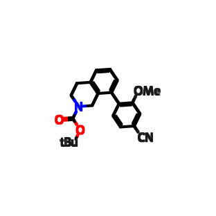 COc1cc(C#N)ccc1-c1cccc2c1CN(C(=O)OC(C)(C)C)CC2